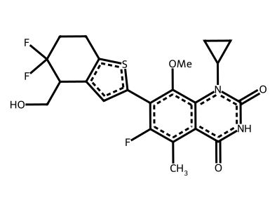 COc1c(-c2cc3c(s2)CCC(F)(F)C3CO)c(F)c(C)c2c(=O)[nH]c(=O)n(C3CC3)c12